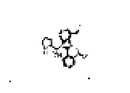 C[C@@H](C1CCCN1)n1c(-c2ccccc2[N+](=O)[O-])nc2c(C=O)cccc21